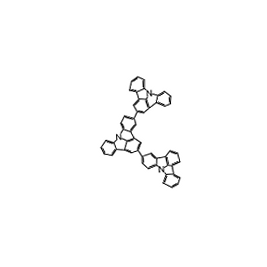 c1ccc2c(c1)c1cccc3c4cc(-c5cc6c7ccccc7n7c8ccc(-c9cc%10c%11ccccc%11n%11c%12ccccc%12c(c9)c%10%11)cc8c(c5)c67)ccc4n2c13